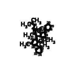 CC(C)=CCCC(C)C(c1cc(C)cc(C2(C)CCCCC2)c1O)c1cc(C)cc(C2(C)CCCCC2)c1O